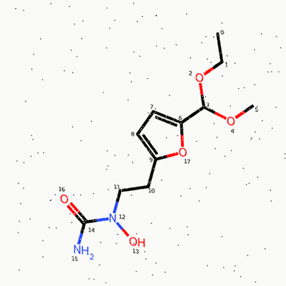 CCOC(OC)c1ccc(CCN(O)C(N)=O)o1